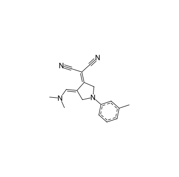 Cc1cccc(N2CC(=CN(C)C)C(=C(C#N)C#N)C2)c1